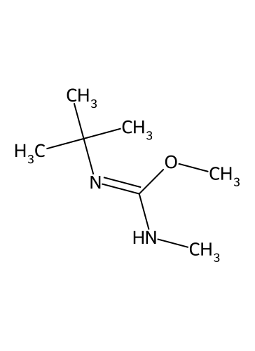 CN/C(=N/C(C)(C)C)OC